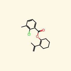 C=C(C)C1=C(OC(=O)c2cccc(C)c2Cl)CCCC1